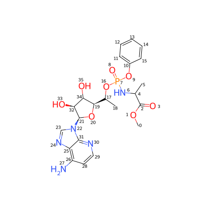 COC(=O)C(C)NP(=O)(Oc1ccccc1)OC(C)[C@H]1O[C@@H](n2cnc3c(N)ccnc32)[C@@H](O)C1O